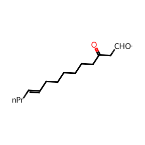 CCCC=CCCCCCCC(=O)C[C]=O